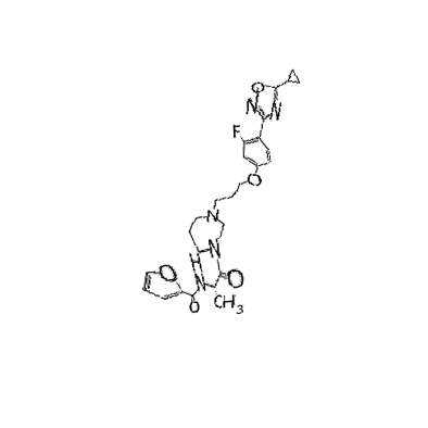 C[C@H](NC(=O)c1ccco1)C(=O)N1CCCN(CCCOc2ccc(-c3noc(C4CC4)n3)c(F)c2)CC1